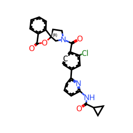 O=C1O[C@]2(CCN(C(=O)c3ccc(-c4cccc(NC(=O)C5CC5)n4)cc3Cl)C2)c2ccccc21